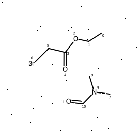 CCOC(=O)CBr.CN(C)C=O